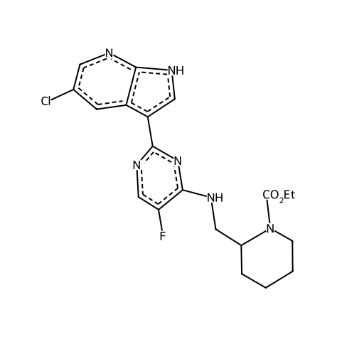 CCOC(=O)N1CCCCC1CNc1nc(-c2c[nH]c3ncc(Cl)cc23)ncc1F